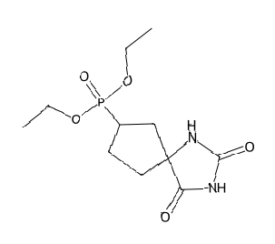 CCOP(=O)(OCC)C1CCC2(C1)NC(=O)NC2=O